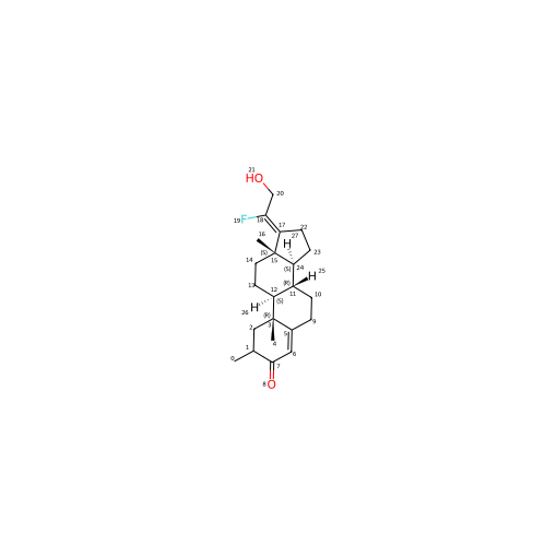 CC1C[C@@]2(C)C(=CC1=O)CC[C@@H]1[C@@H]2CC[C@]2(C)C(=C(F)CO)CC[C@@H]12